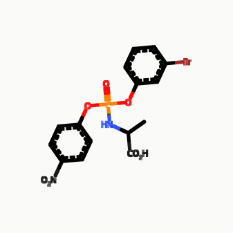 CC(NP(=O)(Oc1ccc([N+](=O)[O-])cc1)Oc1cccc(Br)c1)C(=O)O